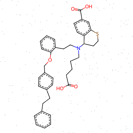 O=C(O)CCCCN(CCc1ccccc1OCc1ccc(CCc2ccccc2)cc1)C1CCSc2cc(C(=O)O)ccc21